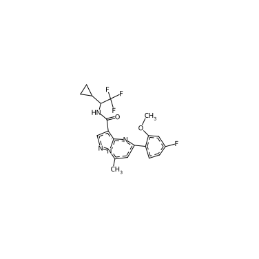 COc1cc(F)ccc1-c1cc(C)n2ncc(C(=O)NC(C3CC3)C(F)(F)F)c2n1